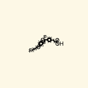 O=C(O)C=Cc1ccc(C(F)(F)Oc2ccc(OCCCCF)cc2)cc1